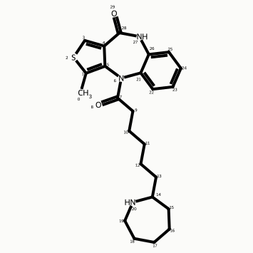 Cc1scc2c1N(C(=O)CCCCCC1CCCCCN1)c1ccccc1NC2=O